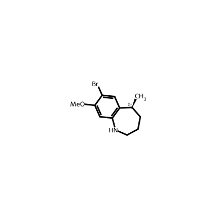 COc1cc2c(cc1Br)[C@@H](C)CCCN2